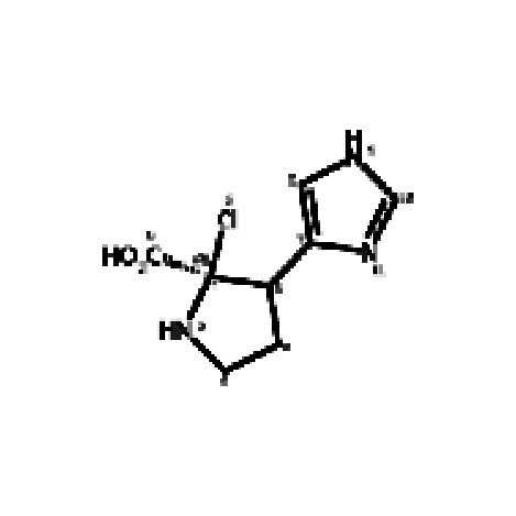 O=C(O)[C@@]1(Cl)NCCC1c1c[nH]cn1